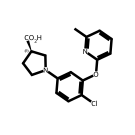 Cc1cccc(Oc2cc(N3CC[C@@H](C(=O)O)C3)ccc2Cl)n1